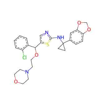 Clc1ccccc1C(OCCN1CCOCC1)c1cnc(NC2(c3ccc4c(c3)OCO4)CC2)s1